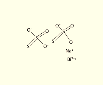 O=S([O-])([O-])=S.O=S([O-])([O-])=S.[Bi+3].[Na+]